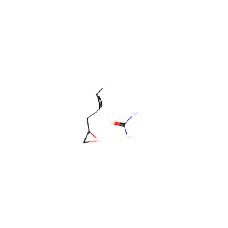 CC=CCC1CO1.NC(N)=O